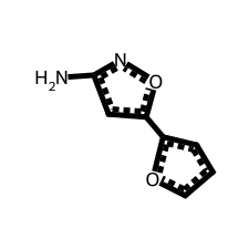 Nc1cc(-c2ccco2)on1